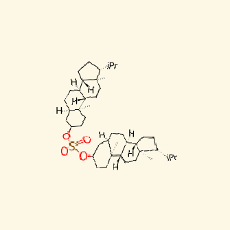 CC(C)[C@H]1CC[C@H]2[C@@H]3CC[C@@H]4C[C@H](OS(=O)(=O)O[C@@H]5CC[C@@]6(C)[C@H](CC[C@@H]7[C@@H]6CC[C@]6(C)[C@@H](C(C)C)CC[C@@H]76)C5)CC[C@]4(C)[C@H]3CC[C@]12C